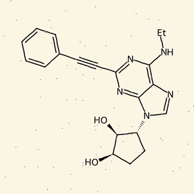 CCNc1nc(C#Cc2ccccc2)nc2c1ncn2[C@@H]1CC[C@@H](O)[C@H]1O